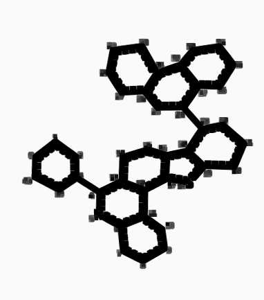 c1ccc(-c2nc3ccccc3c3c2ccc2c3sc3cccc(-c4cc5ccccc5c5ccccc45)c32)cc1